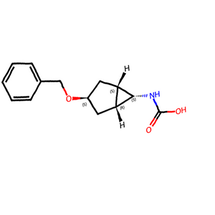 O=C(O)N[C@@H]1[C@@H]2C[C@@H](OCc3ccccc3)C[C@@H]21